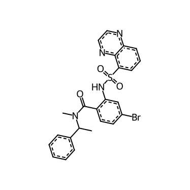 CC(c1ccccc1)N(C)C(=O)c1ccc(Br)cc1NS(=O)(=O)c1cccc2nccnc12